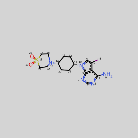 Nc1ncnc2c1c(I)cn2[C@H]1CC[C@@H](N2CCS(=O)(=O)CC2)CC1